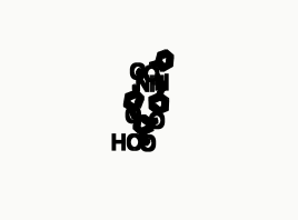 N#Cc1ccc(Oc2cc(Oc3ccc(CNC(=O)OCc4ccccc4)cc3)cc(C(=O)O)c2)cc1